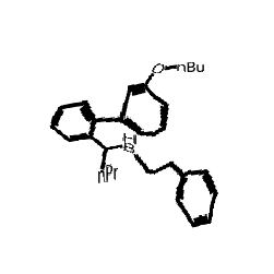 CCCCOc1cccc(-c2ccccc2C(BCCc2ccccc2)CCC)c1